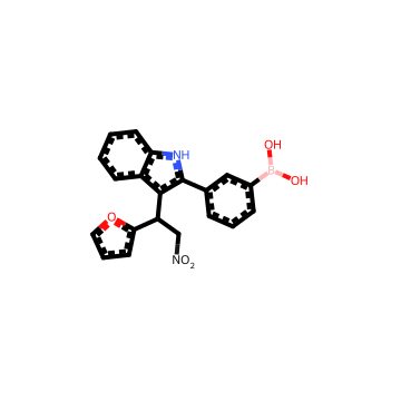 O=[N+]([O-])CC(c1ccco1)c1c(-c2cccc(B(O)O)c2)[nH]c2ccccc12